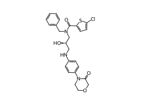 O=C(c1ccc(Cl)s1)N(Cc1ccccc1)C[C@H](O)CNc1ccc(N2CCOCC2=O)cc1